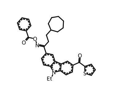 CCn1c2ccc(C(=O)c3cccs3)cc2c2cc(/C(CCC3CCCCCC3)=N/OC(=O)c3ccccc3)ccc21